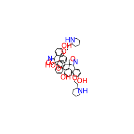 O=C(c1ccc(OCCC2CCCCN2)cc1C1(c2ccc(O)cc2)CON=C1c1ccc(O)cc1)c1ccc(OCCC2CCCCN2)cc1C1(c2ccc(O)cc2)CON=C1c1ccc(O)cc1